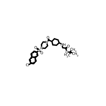 CC(C)(C)OC(=O)CNC1CCC(C(=O)N2CCN(S(=O)(=O)c3ccc4cc(Cl)ccc4c3)CC2)CC1